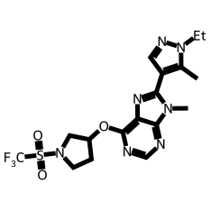 CCn1ncc(-c2nc3c(OC4CCN(S(=O)(=O)C(F)(F)F)C4)ncnc3n2C)c1C